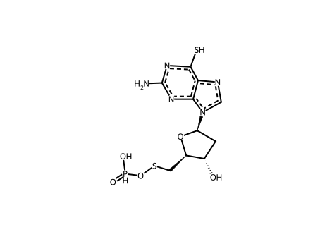 Nc1nc(S)c2ncn([C@H]3C[C@H](O)[C@@H](CSO[PH](=O)O)O3)c2n1